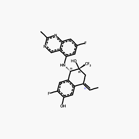 C/C=C1\C[C@](O)(C(F)(F)F)[C@@H](Nc2cc(F)cc3nc(C)ncc23)c2cc(F)c(O)cc21